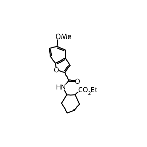 CCOC(=O)C1CCCCC1NC(=O)c1cc2cc(OC)ccc2o1